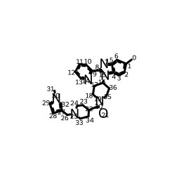 Cc1ccc2c(c1)nc(-c1ccccn1)n2C1CCN(C(=O)C2CCN(Cc3ccn(C)c3)CC2)CC1